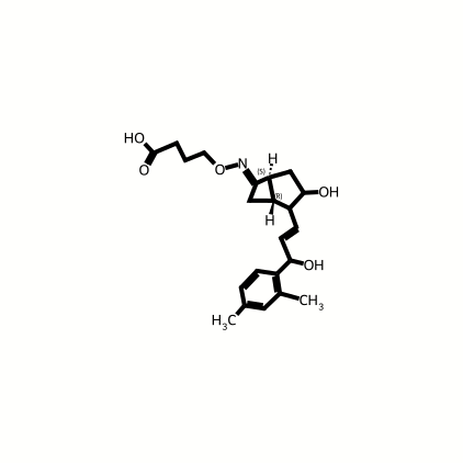 Cc1ccc(C(O)C=CC2C(O)C[C@@H]3C(=NOCCCC(=O)O)C[C@@H]23)c(C)c1